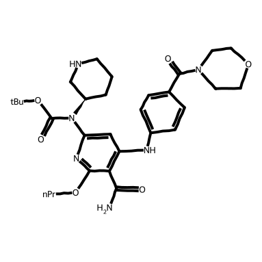 CCCOc1nc(N(C(=O)OC(C)(C)C)[C@@H]2CCCNC2)cc(Nc2ccc(C(=O)N3CCOCC3)cc2)c1C(N)=O